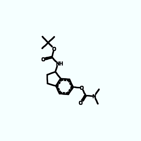 CN(C)C(=O)Oc1ccc2c(c1)C(NC(=O)OC(C)(C)C)CC2